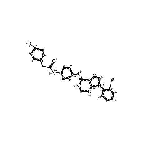 O=C(Cc1ccc(C(F)(F)F)cc1)Nc1ccc(Oc2ncnc3c2ccn3-c2ccccc2F)cc1